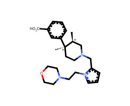 C[C@H]1CN(Cc2cccn2CCN2CCOCC2)CC[C@@]1(C)c1cccc(C(=O)O)c1